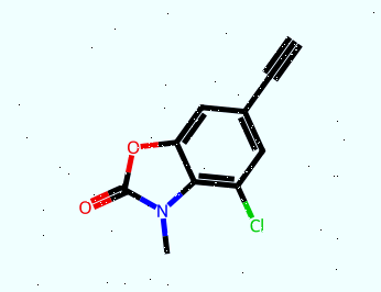 C#Cc1cc(Cl)c2c(c1)oc(=O)n2C